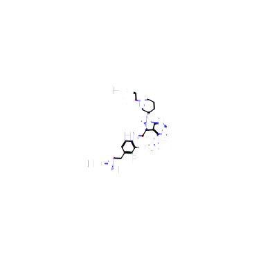 C=CC(=O)N1CCC[C@@H](n2nc(C(=O)Nc3ccc(CC(=O)N(C)C)c(F)c3OC)c3c(N)ncnc32)C1